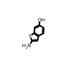 Nc1cc2ccc(O)cc2s1